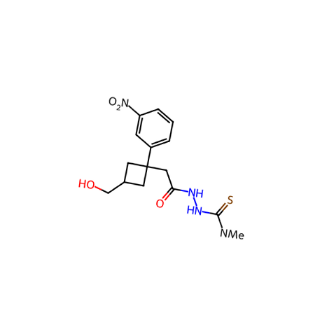 CNC(=S)NNC(=O)CC1(c2cccc([N+](=O)[O-])c2)CC(CO)C1